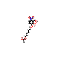 COc1c(OCCCCCCCOC(C)=O)ccc([N+](=O)[O-])c1C=O